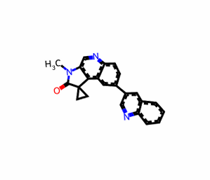 CN1C(=O)C2(CC2)c2c1cnc1ccc(-c3cnc4ccccc4c3)cc21